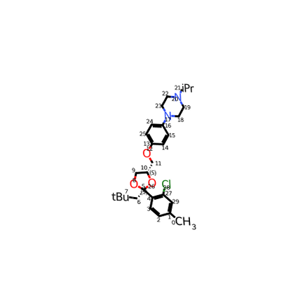 Cc1ccc([C@@]2(CC(C)(C)C)OC[C@H](COc3ccc(N4CCN(C(C)C)CC4)cc3)O2)c(Cl)c1